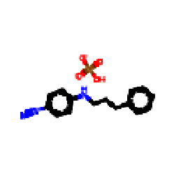 N#[N+]c1ccc(NCCCc2ccccc2)cc1.O=S(=O)([O-])O